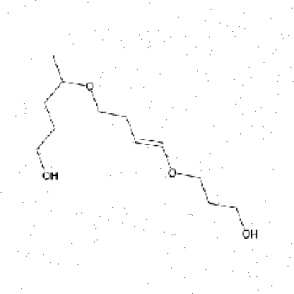 CC(CCCO)OCCC=COCCCO